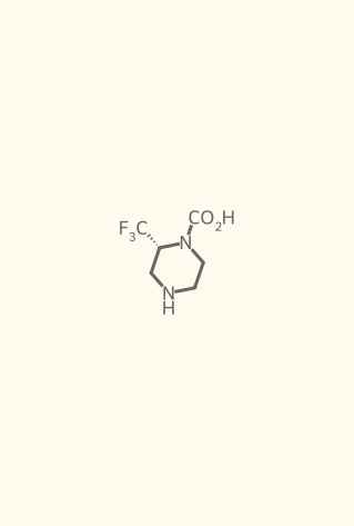 O=C(O)N1CCNC[C@@H]1C(F)(F)F